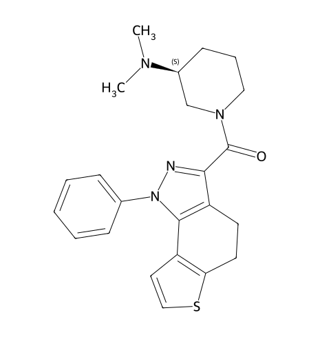 CN(C)[C@H]1CCCN(C(=O)c2nn(-c3ccccc3)c3c2CCc2sccc2-3)C1